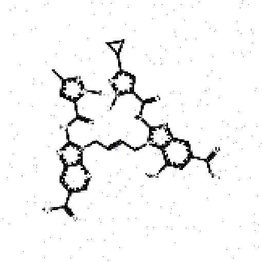 CCn1nc(C)cc1C(=O)Nc1nc2cc(C(N)=O)cnc2n1C/C=C/Cn1c(NC(=O)c2cc(C3CC3)nn2CC)nc2cc(C(N)=O)cc(OC)c21